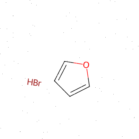 Br.c1ccoc1